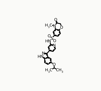 CC(C)Oc1ccc2[nH]nc(-c3ccnc(NS(=O)(=O)c4ccc5c(c4)N(C)C(=O)CO5)c3)c2c1